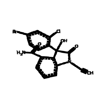 C#CN1C(=O)C(O)(c2ccc(Br)cc2Cl)c2c(C(N)=O)cccc21